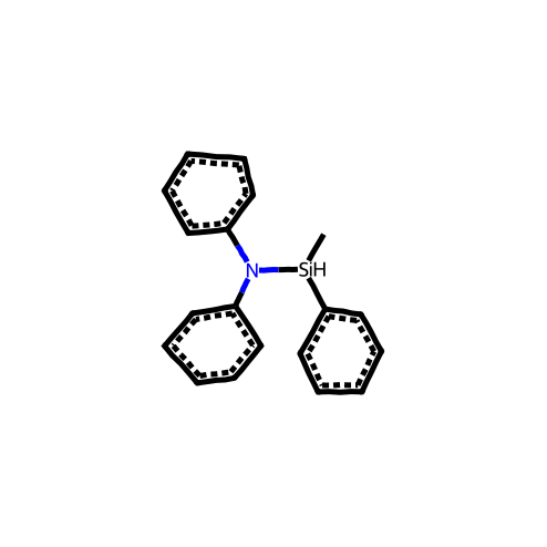 C[SiH](c1ccccc1)N(c1ccccc1)c1ccccc1